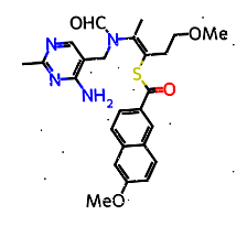 COCC/C(SC(=O)c1ccc2cc(OC)ccc2c1)=C(\C)N(C=O)Cc1cnc(C)nc1N